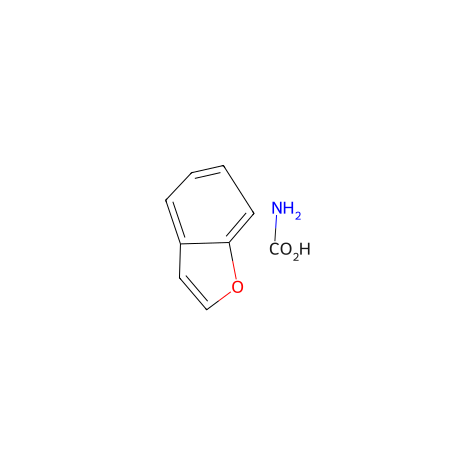 NC(=O)O.c1ccc2occc2c1